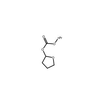 CCCOC(=O)OC1CCCO1